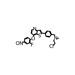 CN(CCCl)Cc1ccc(-c2cc3nccc(Oc4ccc(N=O)cc4F)c3s2)cc1